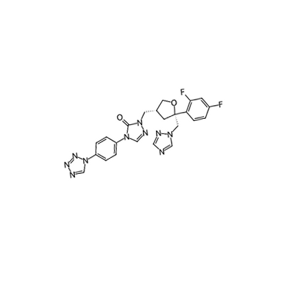 O=c1n(-c2ccc(-n3cnnn3)cc2)cnn1C[C@@H]1CO[C@@](Cn2cncn2)(c2ccc(F)cc2F)C1